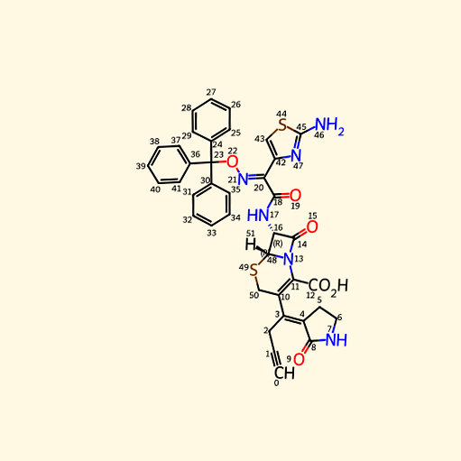 C#CCC(=C1CCNC1=O)C1=C(C(=O)O)N2C(=O)[C@@H](NC(=O)C(=NOC(c3ccccc3)(c3ccccc3)c3ccccc3)c3csc(N)n3)[C@H]2SC1